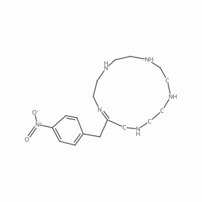 O=[N+]([O-])c1ccc(CC2=NCCNCCNCCNCCNC2)cc1